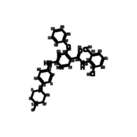 CN1CCN(c2ccc(Nc3ncc(C(=O)Nc4c(Cl)cccc4Cl)c(Oc4ccccc4)n3)cc2)CC1